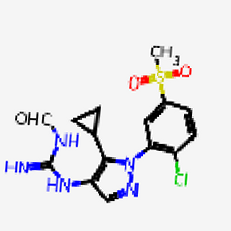 CS(=O)(=O)c1ccc(Cl)c(-n2ncc(NC(=N)NC=O)c2C2CC2)c1